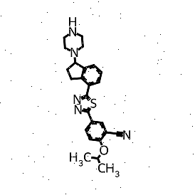 CC(C)Oc1ccc(-c2nnc(-c3cccc4c3CCC4N3CCNCC3)s2)cc1C#N